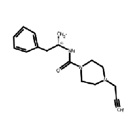 C#CCN1CCN(C(=O)N[C@@H]([CH2])Cc2ccccc2)CC1